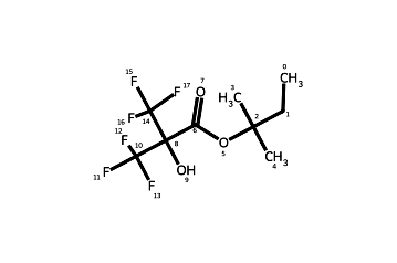 CCC(C)(C)OC(=O)C(O)(C(F)(F)F)C(F)(F)F